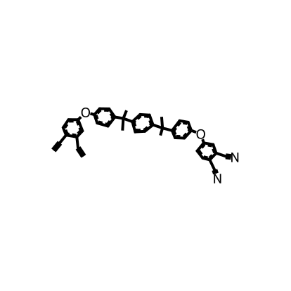 C#Cc1ccc(Oc2ccc(C(C)(C)c3ccc(C(C)(C)c4ccc(Oc5ccc(C#N)c(C#N)c5)cc4)cc3)cc2)cc1C#C